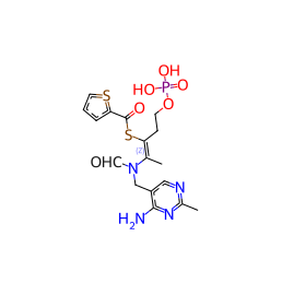 C/C(=C(\CCOP(=O)(O)O)SC(=O)c1cccs1)N(C=O)Cc1cnc(C)nc1N